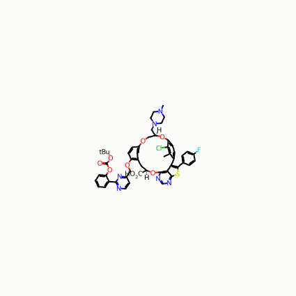 Cc1c2ccc(c1Cl)O[C@H](CN1CCN(C)CC1)COc1ccc(OCc3ccnc(-c4ccccc4OC(=O)OC(C)(C)C)n3)c(c1)C[C@H](C(=O)O)Oc1ncnc3sc(-c4ccc(F)cc4)c-2c13